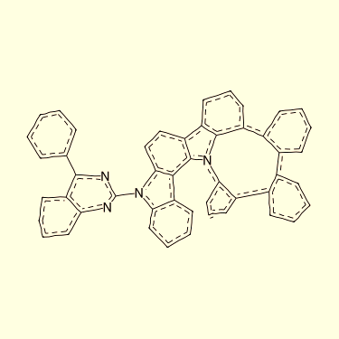 c1ccc(-c2nc(-n3c4ccccc4c4c3ccc3c5cccc6c7ccccc7c7ccccc7c7ccccc7n(c65)c34)nc3ccccc23)cc1